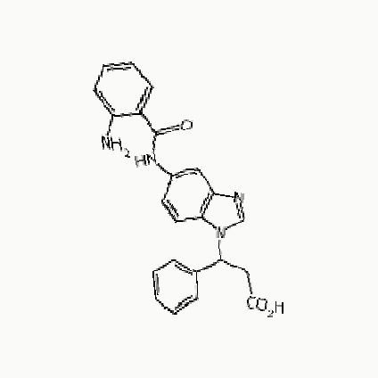 Nc1ccccc1C(=O)Nc1ccc2c(c1)ncn2C(CC(=O)O)c1ccccc1